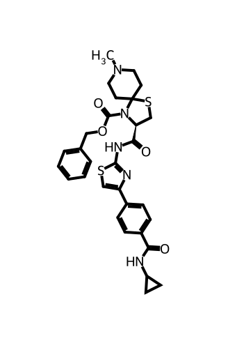 CN1CCC2(CC1)SC[C@@H](C(=O)Nc1nc(-c3ccc(C(=O)NC4CC4)cc3)cs1)N2C(=O)OCc1ccccc1